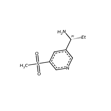 CC[C@@H](N)c1cncc(S(C)(=O)=O)c1